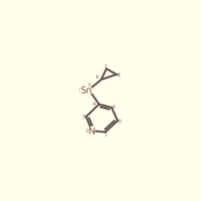 c1cnc[c]([Sn][CH]2CC2)c1